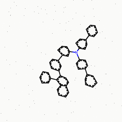 c1ccc(-c2ccc(N(c3ccc(-c4ccccc4)cc3)c3cccc(-c4cccc(-c5ccc6ccccc6c5-c5ccccc5)c4)c3)cc2)cc1